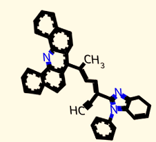 C#C/C(=C\C=C(/C)c1c2ccc3ccccc3c2nc2c1ccc1ccccc12)c1nc2c(n1-c1ccccc1)C=CCC2